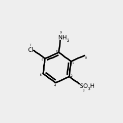 Cc1c(S(=O)(=O)O)ccc(Cl)c1N